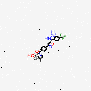 CC(C)(O)C1CCCN1C(=O)c1ccc(-c2cc(C(=N)c3ccc(C(F)(F)F)cc3N)on2)cc1